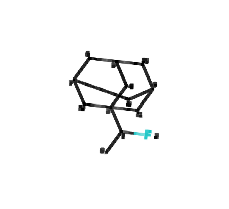 CC(F)C12CC3CC(CC(C3)C1)C2